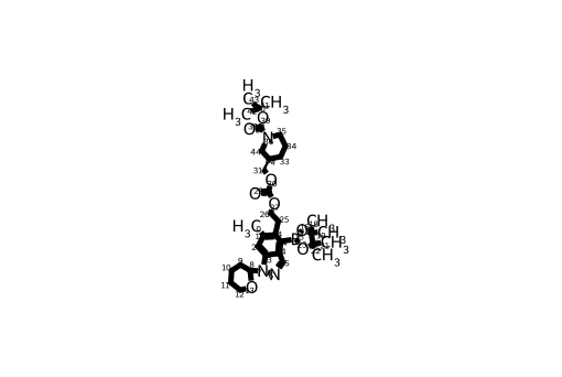 Cc1cc2c(cnn2C2CCCCO2)c(B2OC(C)(C)C(C)(C)O2)c1CCOC(=O)OC[C@@H]1CCCN(C(=O)OC(C)(C)C)C1